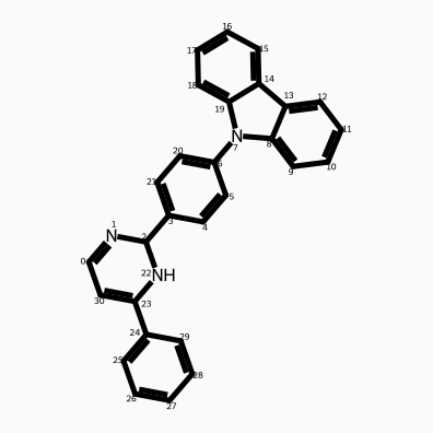 C1=NC(c2ccc(-n3c4ccccc4c4ccccc43)cc2)NC(c2ccccc2)=C1